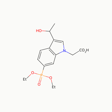 CCOP(=O)(OCC)c1ccc2c(C(C)O)cn(CC(=O)O)c2c1